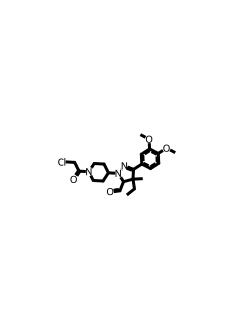 CCC1(C)C(c2ccc(OC)c(OC)c2)=NN(C2CCN(C(=O)CCl)CC2)C1C=O